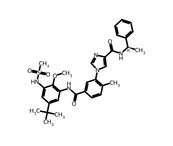 COc1c(NC(=O)c2ccc(C)c(-n3cnc(C(=O)N[C@H](C)c4ccccc4)c3)c2)cc(C(C)(C)C)cc1NS(C)(=O)=O